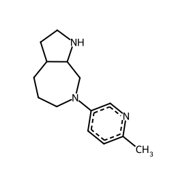 Cc1ccc(N2CCCC3CCNC3C2)cn1